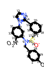 COc1ccc(CN(c2cc(-n3ccnc3-c3ccccc3)ccc2[N+](=O)[O-])[S+]([O-])C(C)C)cc1